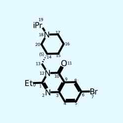 CCc1nc2ccc(Br)cc2c(=O)n1C[C@H]1CCCN(C(C)C)C1